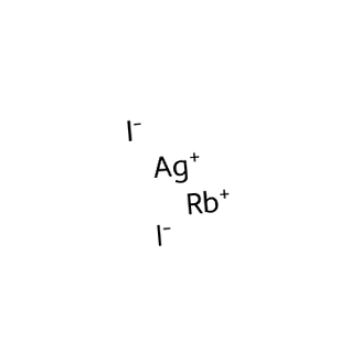 [Ag+].[I-].[I-].[Rb+]